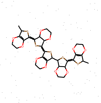 CC1S/C(=C2/S/C(=C3/SC(C4S/C(=C5/SC(C)C6=C5OCCO6)C5OCCOC54)C4=C3OCCO4)C3OCCOC23)C2=C1OCCO2